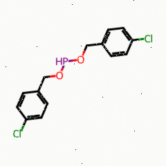 Clc1ccc(COPOCc2ccc(Cl)cc2)cc1